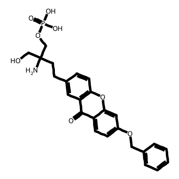 NC(CO)(CCc1ccc2oc3cc(OCc4ccccc4)ccc3c(=O)c2c1)COP(=O)(O)O